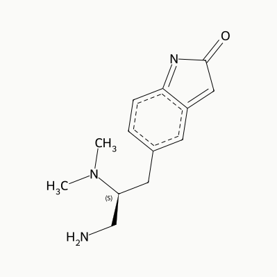 CN(C)[C@H](CN)Cc1ccc2c(c1)=CC(=O)N=2